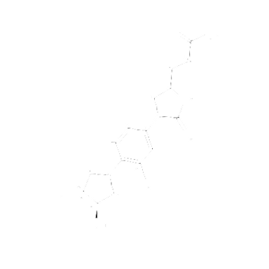 CC(=O)NCC1CN(c2ccc(N3C[C@@H](C)[C@H](O)C3)c(F)c2)C(=O)O1